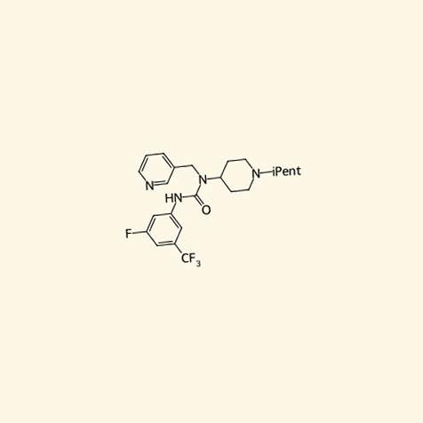 CCCC(C)N1CCC(N(Cc2cccnc2)C(=O)Nc2cc(F)cc(C(F)(F)F)c2)CC1